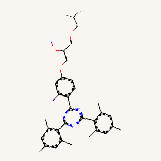 CCCCC(CC)COCC(COc1ccc(-c2nc(-c3c(C)cc(C)cc3C)nc(-c3c(C)cc(C)cc3C)n2)c(I)c1)ON